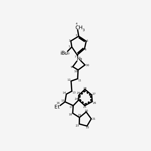 CCC(C)C1CC(C)=CC=C1N1CC(CCCCC(CC)C(CC2CCCC2)c2ccccc2)C1